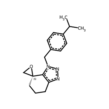 CC(C)c1ccc(Cn2nnc3c2[C@@]2(CCC3)CO2)cc1